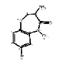 CN1C(=O)C(N)COc2ccc(Br)cc21